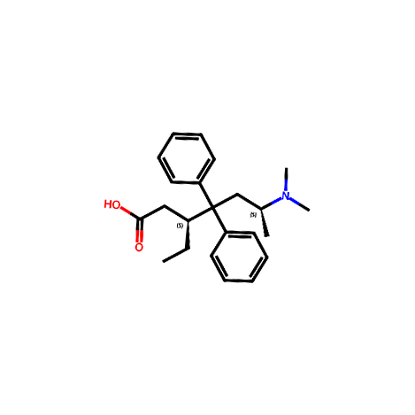 CC[C@@H](CC(=O)O)C(C[C@H](C)N(C)C)(c1ccccc1)c1ccccc1